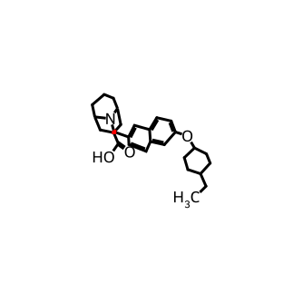 CCC1CCC(Oc2ccc3cc(CN4C5CCCC4CC(C(=O)O)C5)ccc3c2)CC1